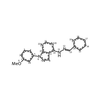 COc1cccc(-n2ncc3c(N/N=C/c4ccccn4)ncnc32)c1